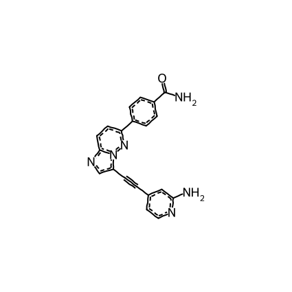 NC(=O)c1ccc(-c2ccc3ncc(C#Cc4ccnc(N)c4)n3n2)cc1